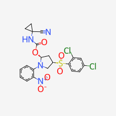 N#CC1(NC(=O)O[C@H]2C[C@@H](S(=O)(=O)c3ccc(Cl)cc3Cl)CN2c2ccccc2[N+](=O)[O-])CC1